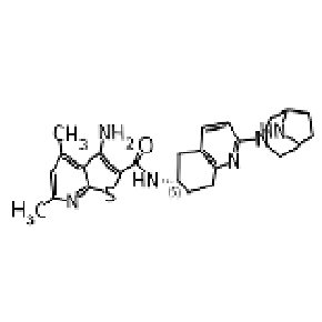 Cc1cc(C)c2c(N)c(C(=O)N[C@H]3CCc4nc(N5CC6CCC(C5)N6)ccc4C3)sc2n1